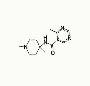 Cc1ncncc1C(=O)NC1(C)CCN(C)CC1